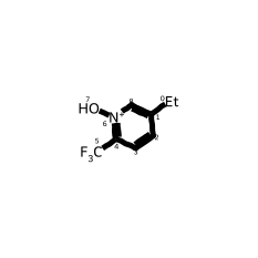 CCc1ccc(C(F)(F)F)[n+](O)c1